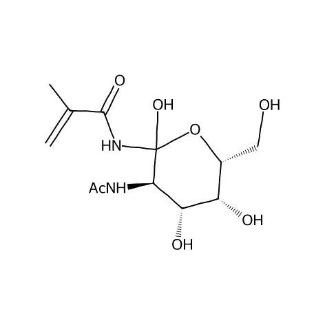 C=C(C)C(=O)NC1(O)O[C@H](CO)[C@H](O)[C@H](O)[C@H]1NC(C)=O